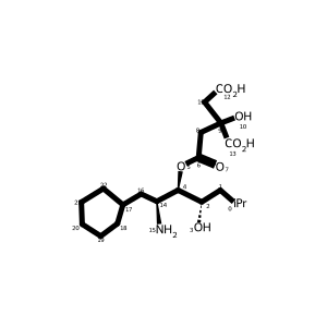 CC(C)C[C@H](O)[C@H](OC(=O)CC(O)(CC(=O)O)C(=O)O)[C@@H](N)CC1CCCCC1